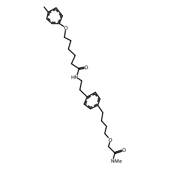 CNC(=O)COCCCCc1ccc(CCNC(=O)CCCCCOc2ccc(C)cc2)cc1